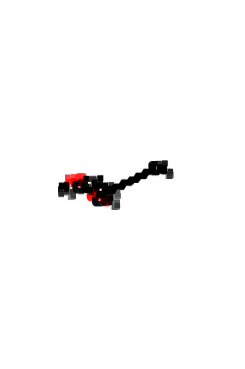 CCCCCCCCCCCCCC(=O)C(C)(C)OCCC(C)(C)O